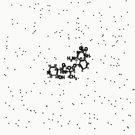 CC(C)(COc1cccc2c1C(N)=NS(=O)(=O)N2)NC(=O)c1ccncc1O